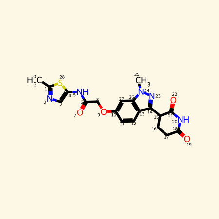 Cc1ncc(NC(=O)COc2ccc3c(C4CCC(=O)NC4=O)nn(C)c3c2)s1